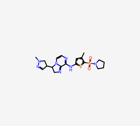 Cc1cc(NC2=NC=CN3C2=NCC3C2C=NN(C)C2)sc1S(=O)(=O)N1CCCC1